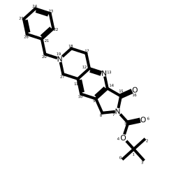 CC(C)(C)OC(=O)N1Cc2cc3c(nc2C1=O)CCN(Cc1ccccc1)C3